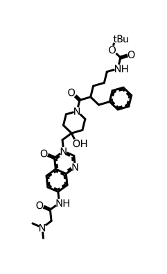 CN(C)CC(=O)Nc1ccc2c(=O)n(CC3(O)CCN(C(=O)C(CCCNC(=O)OC(C)(C)C)Cc4ccccc4)CC3)cnc2c1